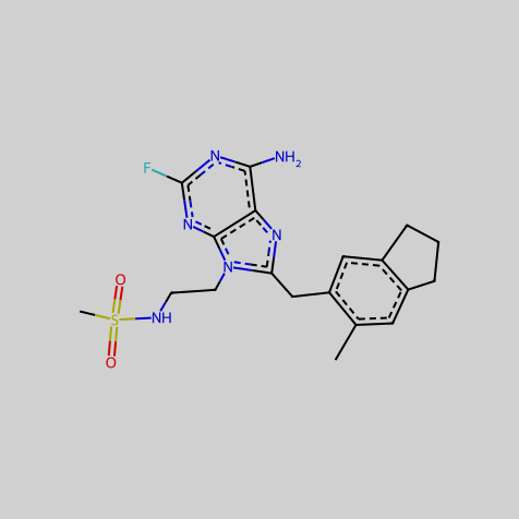 Cc1cc2c(cc1Cc1nc3c(N)nc(F)nc3n1CCNS(C)(=O)=O)CCC2